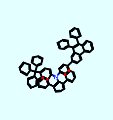 c1ccc(-c2cccc(-c3ccccc3)c2N(c2ccc(-c3ccc4c(c3)c(-c3ccccc3)c(-c3ccccc3)c3ccccc34)cc2)c2ccc3c(c2)-c2ccccc2C3(c2ccccc2)c2ccccc2)cc1